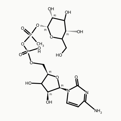 CP(=O)(O[C@H]1OC(CO)[C@@H](O)C(O)[C@H]1O)OP(=O)(O)OC[C@H]1O[C@@H](n2ccc(N)nc2=O)[C@@H](O)C1O